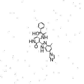 Cc1cc(-n2ccnc2)cc2[nH]c(-c3c(N[C@H](C)[C@@H](O)c4ccccc4)cc[nH]c3=O)nc12